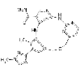 CNC(=O)c1cnc2cc1Nc1cc(cc(-c3ncn(C)n3)c1C)COCc1ccnc(n1)N2